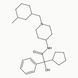 CC1CCCC(CN2CCC(NC(=O)C(O)(c3ccccc3)C3CCCC3)CC2)C1